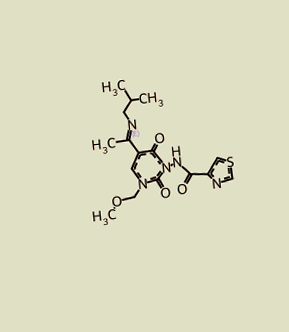 COCn1cc(/C(C)=N/CC(C)C)c(=O)n(NC(=O)c2cscn2)c1=O